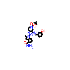 Cc1cc2c(C(N)=O)cccc2n1-c1nc2c(c(NCc3cccc(O)c3)n1)CN(C(=O)OC(C)(C)C)CC2